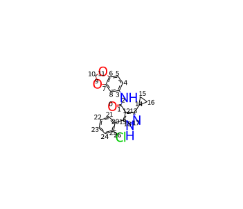 O=C(Nc1ccc2c(c1)OCO2)c1c(C2CC2)n[nH]c1-c1ccccc1Cl